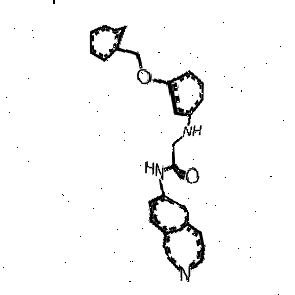 O=C(CNc1cccc(OCc2ccccc2)c1)Nc1ccc2cnccc2c1